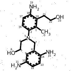 Cc1c(N(CCO)Cc2cc(N)ccc2N)ccc(N)c1CCO